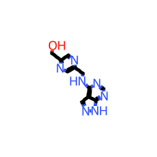 OCc1cnc(CNc2ncnc3[nH]ncc23)cn1